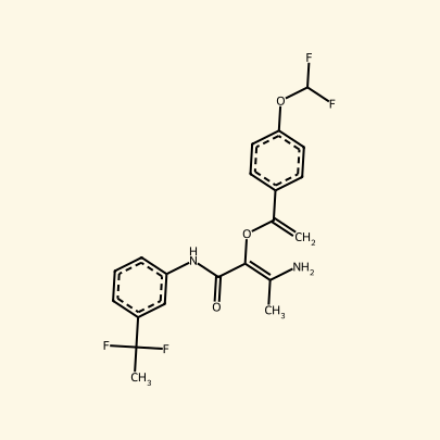 C=C(O/C(C(=O)Nc1cccc(C(C)(F)F)c1)=C(/C)N)c1ccc(OC(F)F)cc1